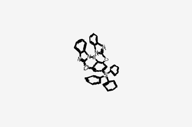 c1ccc(S(c2ccccc2)(c2ccccc2)c2cc3c4c(c2)Oc2nc5ccccc5n2B4n2c(nc4ccccc42)O3)cc1